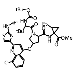 CCC1CC1(NC(=O)C1CC(Oc2cc(-c3csc(NC(C)C)n3)nc3c(Cl)cccc23)CN1C(=O)C(NC(=O)OC(C)(C)C)C(C)(C)C)C(=O)OC